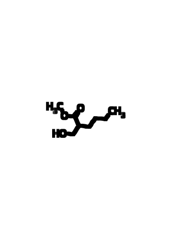 CCCCC(CO)C(=O)OC